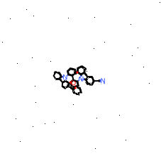 N#Cc1ccc2c(c1)c1ccccc1n2-c1ccccc1-c1ccccc1-n1c2ccccc2c2ccc3c4ccccc4oc3c21